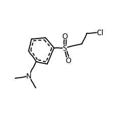 CN(C)c1cccc(S(=O)(=O)CCCl)c1